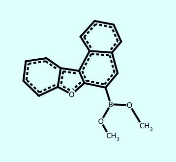 COB(OC)c1cc2ccccc2c2c1oc1ccccc12